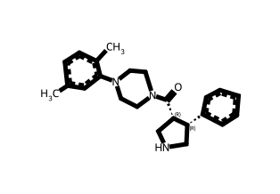 Cc1ccc(C)c(N2CCN(C(=O)[C@H]3CNC[C@H]3c3ccccc3)CC2)c1